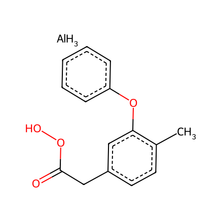 Cc1ccc(CC(=O)OO)cc1Oc1ccccc1.[AlH3]